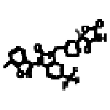 Cc1cccc2c(-n3c(=O)n(Cc4cccc([C@@]5(C)OC(=O)NC5=O)c4)c4cc(C(F)(F)F)ccc43)noc12